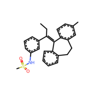 CC/C(=C1/c2ccccc2CCc2cc(C)ccc21)c1cccc(NS(C)(=O)=O)c1